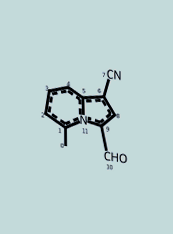 Cc1cccc2c(C#N)cc(C=O)n12